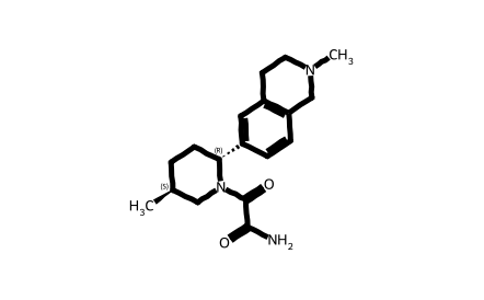 C[C@H]1CC[C@H](c2ccc3c(c2)CCN(C)C3)N(C(=O)C(N)=O)C1